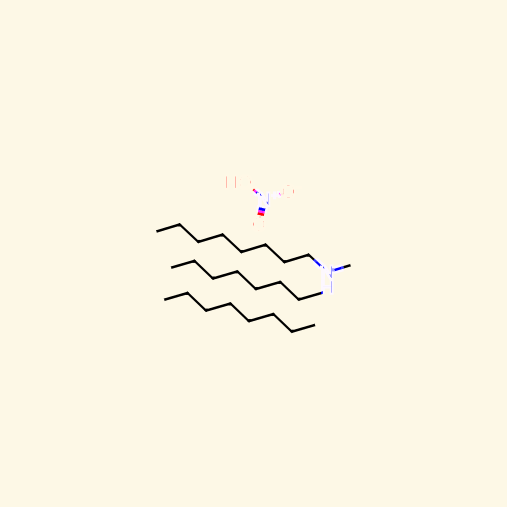 CCCCCCCC.CCCCCCCC.CCCCCCCCNC.O=[N+]([O-])O